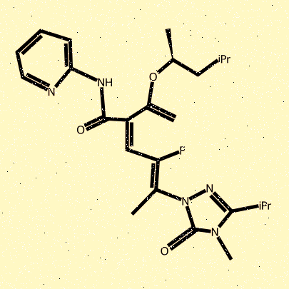 C=C(O[C@@H](C)CC(C)C)/C(=C\C(F)=C(/C)n1nc(C(C)C)n(C)c1=O)C(=O)Nc1ccccn1